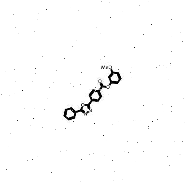 COc1cccc(OC(=O)c2ccc(-c3nnc(-c4ccccc4)o3)cc2)c1